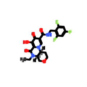 O=C(NCc1c(F)cc(F)cc1F)c1cn2c(c(O)c1=O)C(=O)N(CC(F)(F)F)[C@@H]1COCC[C@@H]12